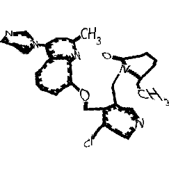 Cc1cc(-n2ccnc2)c2cccc(OCc3c(Cl)cncc3CN3C(=O)CCC3C)c2n1